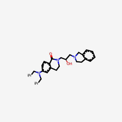 CC(C)CN(CC(C)C)c1ccc2c(c1)CCN(C[C@H](O)CN1CCc3ccccc3C1)C2=O